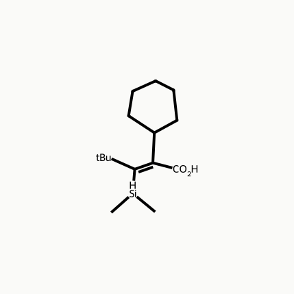 C[SiH](C)/C(=C(\C(=O)O)C1CCCCC1)C(C)(C)C